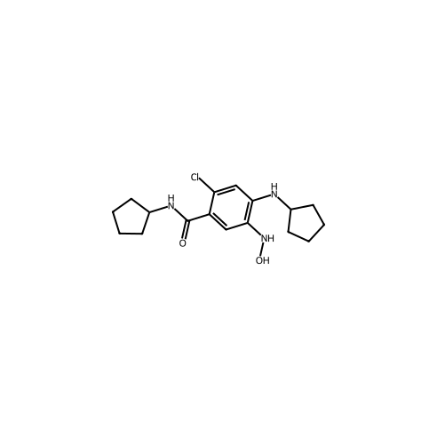 O=C(NC1CCCC1)c1cc(NO)c(NC2CCCC2)cc1Cl